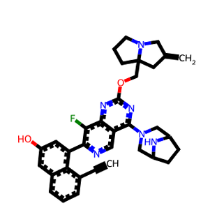 C#Cc1cccc2cc(O)cc(-c3ncc4c(N5CC6CCC(C5)N6)nc(OCC56CCCN5CC(=C)C6)nc4c3F)c12